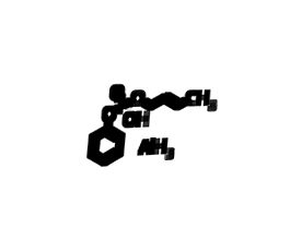 C/C=C/COP(=O)(O)Oc1ccccc1.[AlH3]